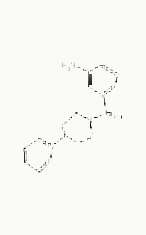 Nc1cccc(C(=O)N2CCN(c3ccccn3)CC2)c1